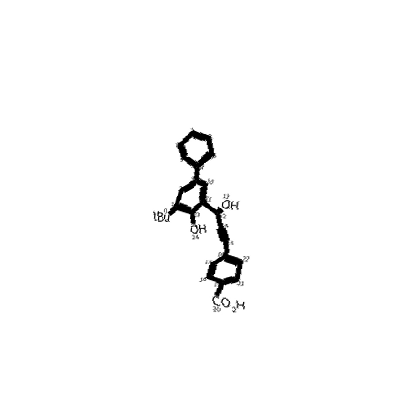 CC(C)(C)c1cc(-c2ccccc2)cc(C(O)C#Cc2ccc(C(=O)O)cc2)c1O